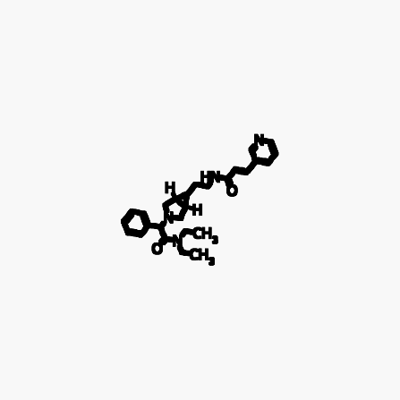 CCN(CC)C(=O)C(c1ccccc1)N1C[C@@H]2C(CCNC(=O)/C=C/c3cccnc3)[C@@H]2C1